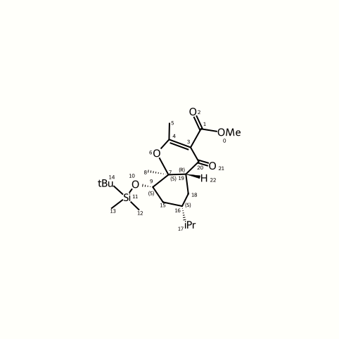 COC(=O)C1=C(C)O[C@]2(C)[C@@H](O[Si](C)(C)C(C)(C)C)C[C@@H](C(C)C)C[C@H]2C1=O